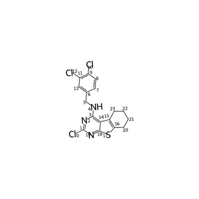 Clc1nc(NCc2ccc(Cl)c(Cl)c2)c2c3c(sc2n1)CCCC3